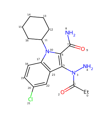 CCC(=O)N(N)c1c(C(N)=O)n(C2CCCCC2)c2ccc(Cl)cc12